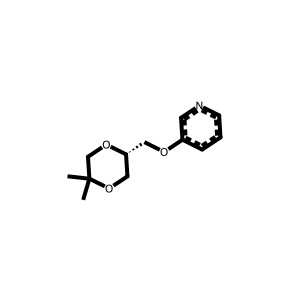 CC1(C)CO[C@H](COc2cccnc2)CO1